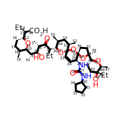 CCC(C(=O)[C@@H](C)[C@@H](O)[C@H](C)[C@@H]1O[C@@H]([C@@H](CC)C(=O)O)CC[C@@H]1C)[C@H]1O[C@]2(C=C[C@@H](NC(=O)NC3CCCC3)[C@]3(CC[C@@](C)([C@H]4CC[C@](O)(CC)[C@H](C)O4)O3)O2)[C@H](C)C[C@@H]1C